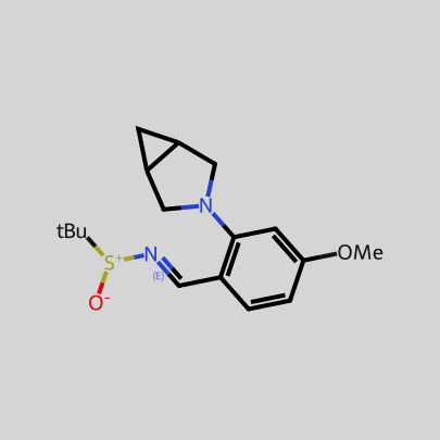 COc1ccc(/C=N/[S+]([O-])C(C)(C)C)c(N2CC3CC3C2)c1